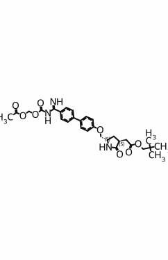 CC(=O)OCOC(=O)NC(=N)c1ccc(-c2ccc(OC[C@@H]3C[C@@H](CC(=O)OCC(C)(C)C)C(=O)N3)cc2)cc1